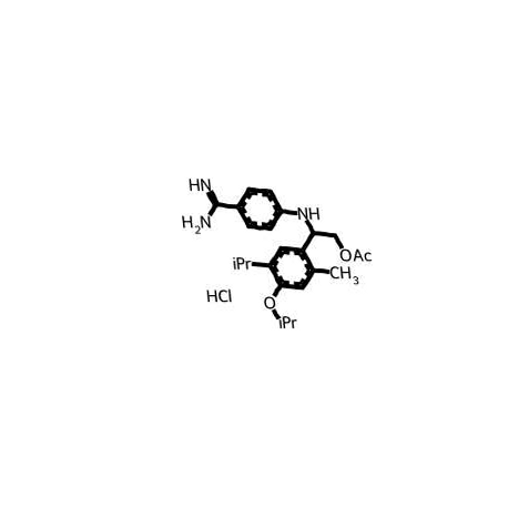 CC(=O)OCC(Nc1ccc(C(=N)N)cc1)c1cc(C(C)C)c(OC(C)C)cc1C.Cl